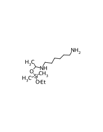 CCO[Si](C)(C)OC(C)NCCCCCCN